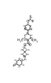 C[C@@H]1CN(c2ncc(OC(F)F)cn2)C[C@H](C)N1C(=O)OC1CC2(C1)CN(Cc1ccc(F)cc1)C2